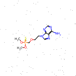 COP(=S)(COCCn1cnc2c(N)ncnc21)OC